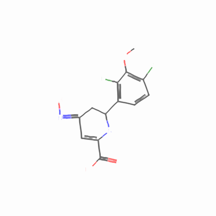 COc1c(Cl)ccc(C2CC(=NO)C=C(C(=O)O)N2)c1F